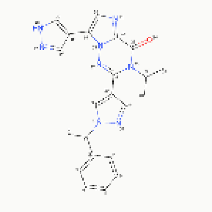 CC(c1ccccc1)n1cc(-c2nn3c(-c4cn[nH]c4)cnc3c(=O)n2C(C)C)cn1